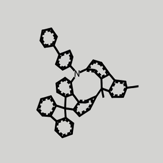 Cc1ccc2c(c1)-c1ccc3cc1C2(C)c1ccc2c(c1)-c1c(cccc1C21c2ccccc2-c2ccccc21)N3c1ccc(-c2ccccc2)cc1